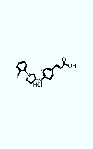 Cl.O=C(O)C=Cc1ccc(N[C@@H]2CCN(c3ccccc3I)C2)nc1